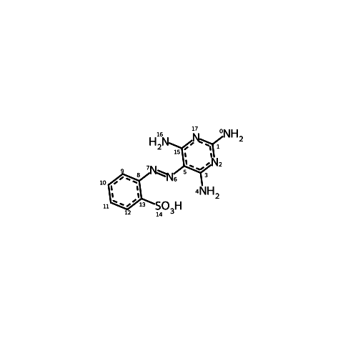 Nc1nc(N)c(N=Nc2ccccc2S(=O)(=O)O)c(N)n1